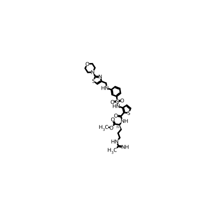 COC(=O)[C@H](CCCNC(C)=N)NC(=O)c1sccc1NS(=O)(=O)c1cccc(NCc2csc(N3CCOCC3)n2)c1